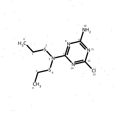 CCSN(SCC)c1nc(N)nc(Cl)n1